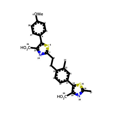 COc1ccc(-c2sc(CCc3ccc(-c4sc(C)nc4C(=O)O)cc3C)nc2C(=O)O)cc1